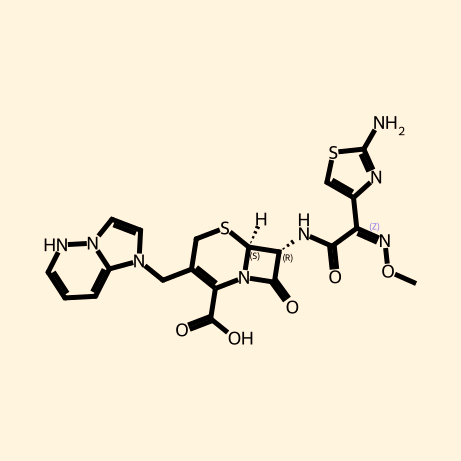 CO/N=C(\C(=O)N[C@@H]1C(=O)N2C(C(=O)O)=C(CN3C=CN4NC=CC=C34)CS[C@@H]12)c1csc(N)n1